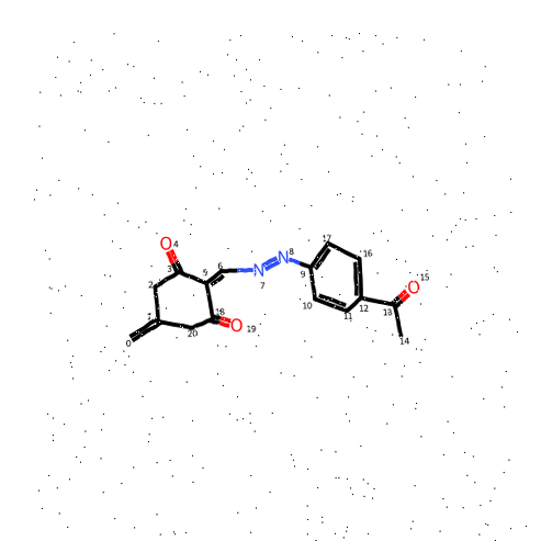 C=C1CC(=O)C(=CN=Nc2ccc(C(C)=O)cc2)C(=O)C1